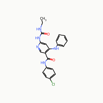 CCNC(=O)Nc1cc(Nc2ccccc2)c(C(=O)Nc2ccc(Cl)cc2)cn1